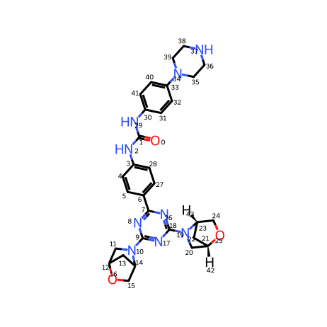 O=C(Nc1ccc(-c2nc(N3CC4CC3CO4)nc(N3C[C@@H]4C[C@H]3CO4)n2)cc1)Nc1ccc(N2CCNCC2)cc1